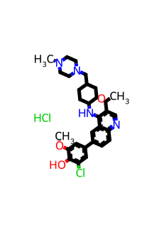 COc1cc(-c2ccc3ncc(C(C)=O)c(NC4CCC(CN5CCN(C)CC5)CC4)c3c2)cc(Cl)c1O.Cl